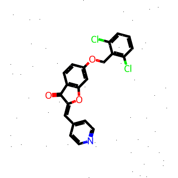 O=C1/C(=C/c2ccncc2)Oc2cc(OCc3c(Cl)cccc3Cl)ccc21